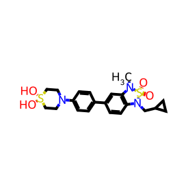 CN1c2cc(-c3ccc(N4CCS(O)(O)CC4)cc3)ccc2N(CC2CC2)S1(=O)=O